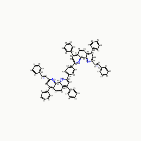 C(=C\c1cc(-c2ccccc2)c2ccc3c(-c4ccccc4)cc(-c4ccc(-c5cc(-c6ccccc6)c6ccc7c(-c8ccccc8)cc(/C=C/c8ccccc8)nc7c6n5)cc4)nc3c2n1)/c1ccccc1